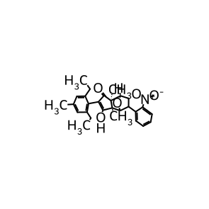 CCc1cc(C)cc(CC)c1C1=C(O)[C@]2(C)C3O[C@@H](CC3c3ccccc3[N+](=O)[O-])[C@]2(C)C1=O